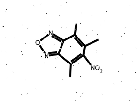 Cc1c([N+](=O)[O-])c(C)c2nonc2c1C